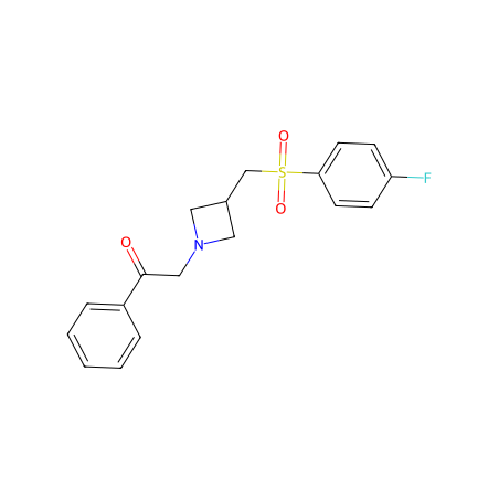 O=C(CN1CC(CS(=O)(=O)c2ccc(F)cc2)C1)c1ccccc1